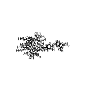 C[C@H](CCC(=O)N[C@H](C(=O)N[C@H](C(=O)N[C@H](C(=O)N[C@@H](C(=O)N[C@@H](CS)C(=O)O)[C@H](O)[C@@H](O)[C@@H](O)CO)[C@@H](O)[C@H](O)[C@H](O)CO)[C@H](O)[C@@H](O)[C@@H](O)CO)[C@@H](O)[C@H](O)[C@H](O)CO)NC(=O)c1ccc(NCc2cnc3nc(N)[nH]c(=O)c3n2)cc1